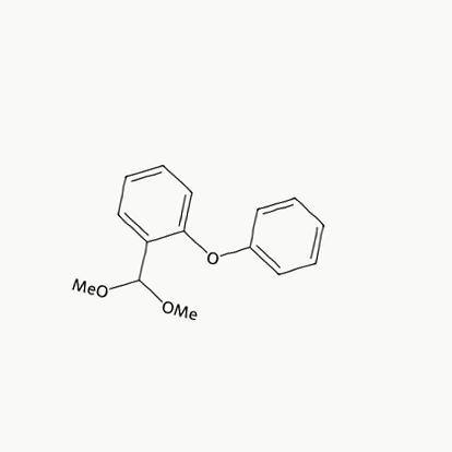 COC(OC)c1ccccc1Oc1ccccc1